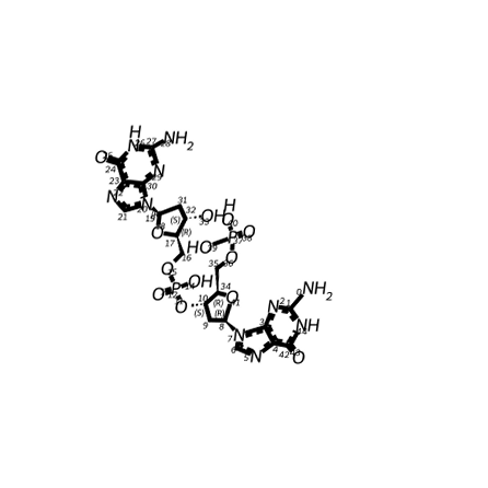 Nc1nc2c(ncn2[C@H]2C[C@H](OP(=O)(O)OC[C@H]3O[C@@H](n4cnc5c(=O)[nH]c(N)nc54)C[C@@H]3O)[C@@H](COP(=O)(O)O)O2)c(=O)[nH]1